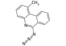 Cc1cccc2nc(N=[N+]=[N-])c3ccccc3c12